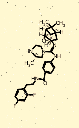 C[C@H]1[C@@H](N=C(Nc2ccc(C(=O)NCCc3ccc(F)cc3F)cc2)N2CCN[C@@H](C)C2)C[C@@H]2C[C@@H]1C2(C)C